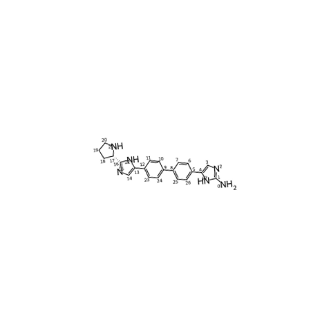 Nc1ncc(-c2ccc(-c3ccc(-c4cnc([C@@H]5CCCN5)[nH]4)cc3)cc2)[nH]1